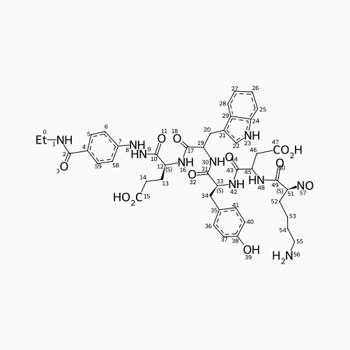 CCNC(=O)c1ccc(NNC(=O)[C@H](CCC(=O)O)NC(=O)C(Cc2c[nH]c3ccccc23)NC(=O)[C@H](Cc2ccc(O)cc2)NC(=O)C(CC(=O)O)NC(=O)[C@H](CCCCN)N=O)cc1